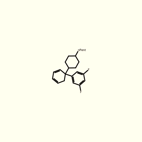 CCCCCC1CCC(C2(c3cc(F)cc(F)c3)C=CC=CC2)CC1